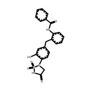 O=C1CN(c2ccc(Cc3ccccc3NC(=O)c3ccccc3)cc2O)S(=O)(=O)N1